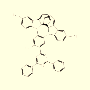 N#Cc1ccc2c(c1)c1ccccc1n2-c1cc(C#N)c(-c2cc(-c3ccccc3)nc(-c3ccccc3)n2)cc1-n1c2ccccc2c2cc(C#N)ccc21